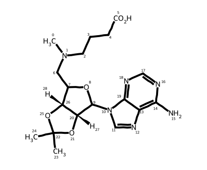 CN(CCCC(=O)O)CC1OC(n2cnc3c(N)ncnc32)[C@@H]2OC(C)(C)O[C@H]12